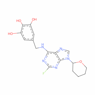 Oc1cc(CNc2nc(F)nc3c2ncn3C2CCCCO2)cc(O)c1O